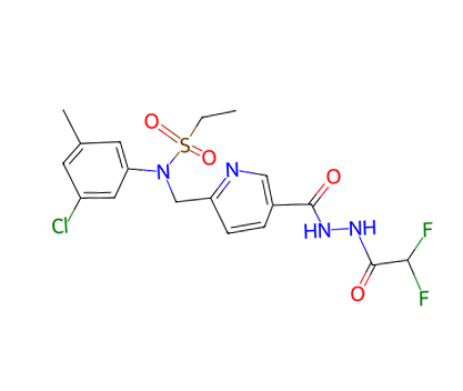 CCS(=O)(=O)N(Cc1ccc(C(=O)NNC(=O)C(F)F)cn1)c1cc(C)cc(Cl)c1